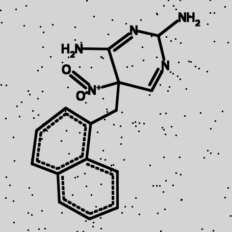 NC1=NC(N)N=CC1(Cc1cccc2ccccc12)[N+](=O)[O-]